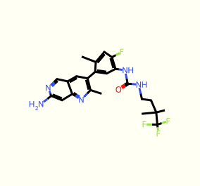 Cc1cc(F)c(NC(=O)NCCC(C)(C)C(F)(F)F)cc1-c1cc2cnc(N)cc2nc1C